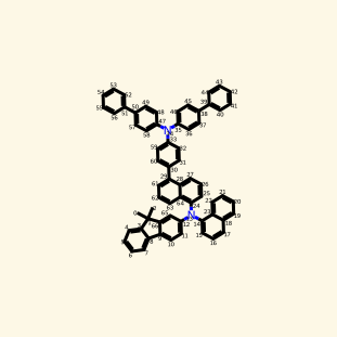 CC1(C)c2ccccc2-c2ccc(N(c3cccc4ccccc34)c3cccc4c(-c5ccc(N(c6ccc(-c7ccccc7)cc6)c6ccc(-c7ccccc7)cc6)cc5)cccc34)cc21